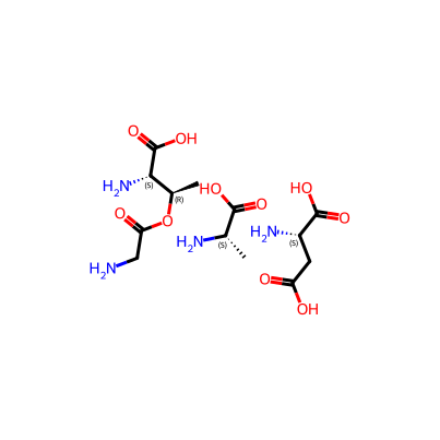 C[C@@H](OC(=O)CN)[C@H](N)C(=O)O.C[C@H](N)C(=O)O.N[C@@H](CC(=O)O)C(=O)O